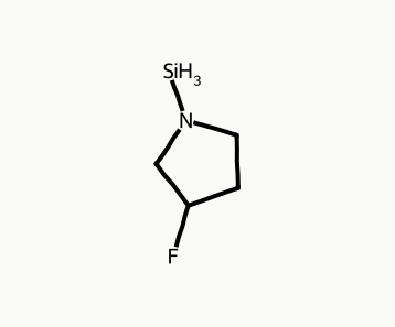 FC1CCN([SiH3])C1